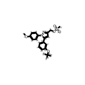 COc1ccc(-n2nc(COS(C)(=O)=O)cc2-c2cccc(OC(F)(F)F)c2)cc1